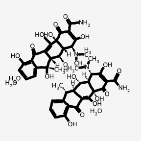 CN(C)[C@@H]1C(O)=C(C(N)=O)C(=O)[C@@]2(O)C(O)=C3C(=O)c4c(O)cccc4[C@@](C)(O)[C@H]3[C@H](O)[C@@H]12.C[C@H]1c2cccc(O)c2C(=O)C2=C(O)[C@]3(O)C(=O)C(C(N)=O)=C(O)[C@@H](N(C)C)[C@@H]3[C@@H](O)[C@@H]21.O.O.O